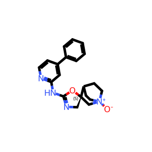 [O-][N+]12CCC(CC1)[C@]1(CN=C(Nc3cc(-c4ccccc4)ccn3)O1)C2